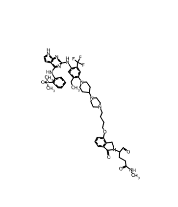 CCc1cc(Nc2nc(Nc3ccccc3P(C)(C)=O)c3cc[nH]c3n2)c(C(F)(F)F)cc1N1CCC(N2CCN(CCCCOc3cccc4c3CN(C(C=O)CCC(=O)NC)C4=O)CC2)CC1